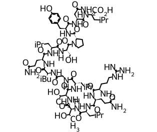 CC[C@H](C)[C@H](NC(=O)CNC(=O)[C@H](CC(C)C)NC(=O)[C@@H](NC(=O)[C@@H](NC(=O)[C@H](CC(C)C)NC(=O)[C@H](CCC(N)=O)NC(=O)[C@@H](N)CCCNC(=N)N)[C@@H](C)O)[C@@H](C)O)C(=O)N[C@@H](CCC(N)=O)C(=O)N[C@@H](CC(C)C)C(=O)N[C@@H](CO)C(=O)N1CCC[C@H]1C(=O)N[C@@H](Cc1ccc(O)cc1)C(=O)N[C@@H](CC(N)=O)C(=O)N[C@@H](CC(C)C)C(=O)O